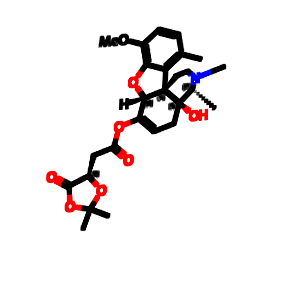 COc1ccc(C)c2c1O[C@H]1C(OC(=O)C[C@H]3OC(C)(C)OC3=O)=CC[C@@]3(O)[C@@H](C)N(C)CC[C@]213